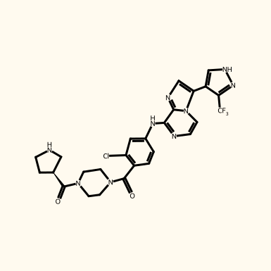 O=C(c1ccc(Nc2nccn3c(-c4c[nH]nc4C(F)(F)F)cnc23)cc1Cl)N1CCN(C(=O)[C@H]2CCNC2)CC1